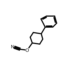 N#COC1CCC(c2ccccc2)CC1